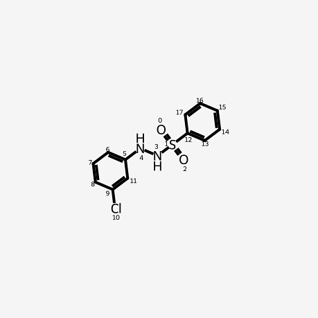 O=S(=O)(NNc1cccc(Cl)c1)c1ccccc1